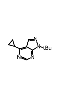 CC(C)(C)n1ncc2c(C3CC3)ncnc21